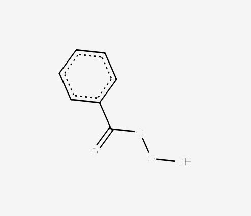 O=C(OOO)c1ccccc1